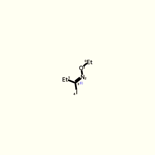 CCO/N=C(/I)CC